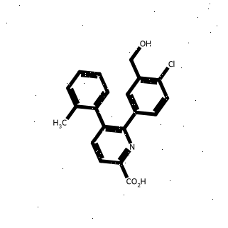 Cc1ccccc1-c1ccc(C(=O)O)nc1-c1ccc(Cl)c(CO)c1